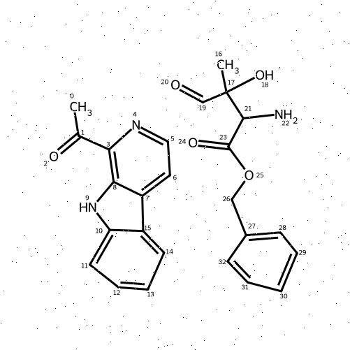 CC(=O)c1nccc2c1[nH]c1ccccc12.CC(O)(C=O)C(N)C(=O)OCc1ccccc1